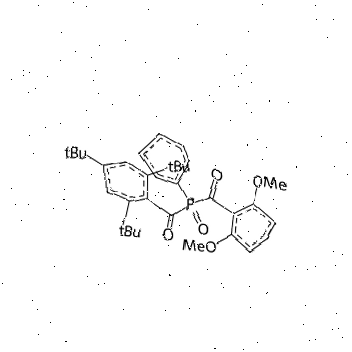 COc1cccc(OC)c1C(=O)P(=O)(C(=O)c1c(C(C)(C)C)cc(C(C)(C)C)cc1C(C)(C)C)c1ccccc1